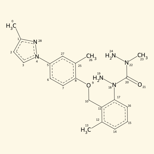 Cc1ccn(-c2ccc(OCc3c(C)cccc3N(N)C(=O)N(C)N)c(C)c2)n1